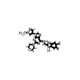 Cn1cc(-n2cnc3c(NCc4nc5cc(F)c(F)cc5[nH]4)nc(N4CCOCC4)nc32)cn1